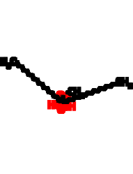 CCCCCCCCCCCCCCCCCCCC(CCCCCCCCCCCCCCCCCC)(C(=O)OCC)P(=O)(O)O